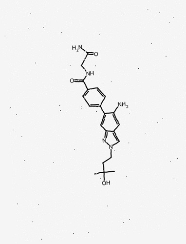 CC(C)(O)CCn1cc2cc(N)c(-c3ccc(C(=O)NCC(N)=O)cc3)cc2n1